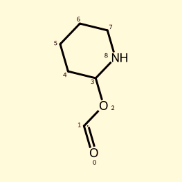 O=[C]OC1CCCCN1